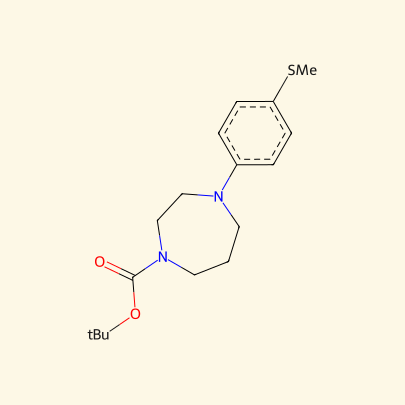 CSc1ccc(N2CCCN(C(=O)OC(C)(C)C)CC2)cc1